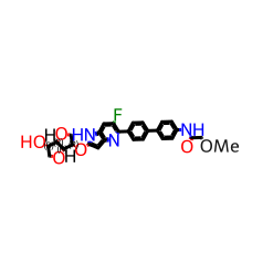 COCC(=O)Nc1ccc(-c2ccc(-c3nc4cc(O[C@@H]5CO[C@H]6[C@@H]5OC[C@H]6O)[nH]c4cc3F)cc2)cc1